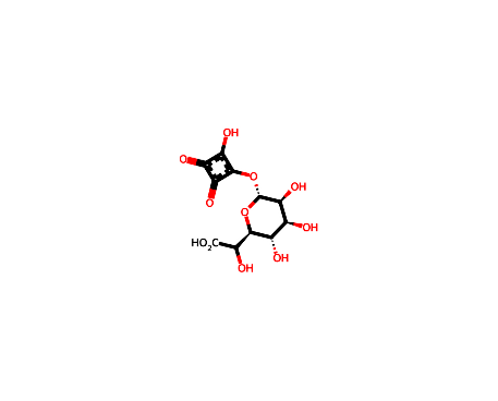 O=C(O)C(O)[C@H]1O[C@H](Oc2c(O)c(=O)c2=O)[C@@H](O)[C@@H](O)[C@@H]1O